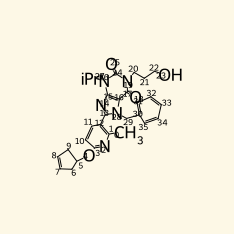 Cc1nc(OC2CC=CC2)ccc1-c1nc2c(c(=O)n(CCCO)c(=O)n2C(C)C)n1Cc1ccccc1